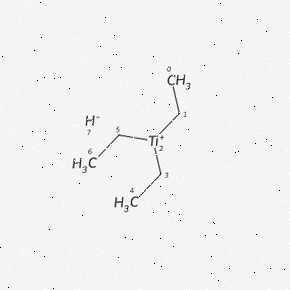 C[CH2][Ti+]([CH2]C)[CH2]C.[H-]